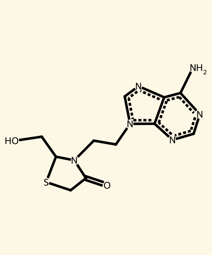 Nc1ncnc2c1ncn2CCN1C(=O)CSC1CO